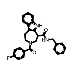 O=C(NCc1ccccc1)C1CN(C(=O)c2ccc(F)cc2)CCc2c1[nH]c1ccccc21